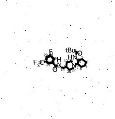 CC(C)(C)C(=O)N[C@@H]1CCCCC1N1CCC(CNC(=O)c2cc(F)cc(C(F)(F)F)c2)CC1